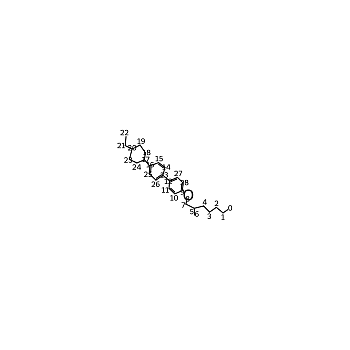 CCCCCC(C)COc1ccc(-c2ccc(C3CCC(CC)CC3)cc2)cc1